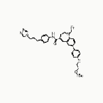 CCCCOCCOc1ccc(-c2ccc3c(c2)C=C(C(=O)Nc2ccc(CCCn4cnnc4)cc2)CCN3CC(C)C)cc1